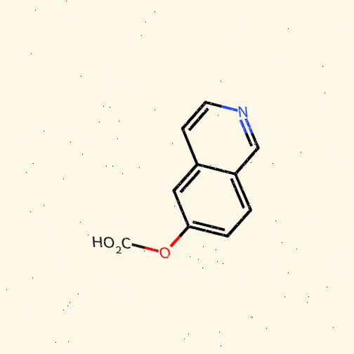 O=C(O)Oc1ccc2cnccc2c1